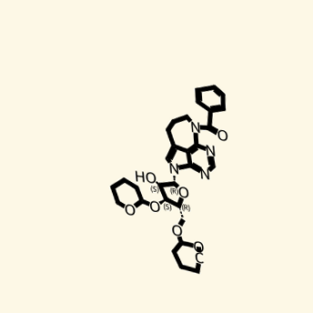 O=C(c1ccccc1)N1CCCc2cn([C@@H]3O[C@H](COC4CCCCO4)[C@@H](OC4CCCCO4)[C@@H]3O)c3ncnc1c23